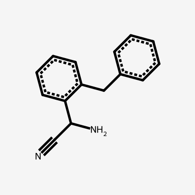 N#CC(N)c1ccccc1Cc1ccccc1